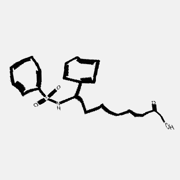 O=C(O)CCCCCC(NS(=O)(=O)c1ccccc1)c1ccccc1